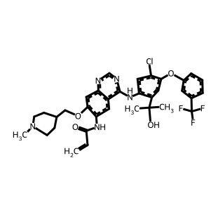 C=CC(=O)Nc1cc2c(Nc3cc(Cl)c(Oc4cccc(C(F)(F)F)c4)cc3C(C)(C)O)ncnc2cc1OCC1CCN(C)CC1